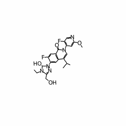 CCN1C(CO)=NN(c2cc3c(C(C)C)cn(-c4cc(OC)ncc4F)c(=O)c3cc2F)C1O